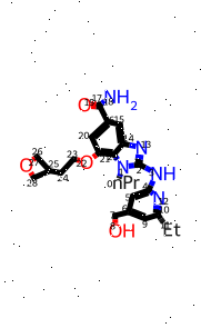 CCCn1c(Nc2cc(CO)cc(CC)n2)nc2cc(C(N)=O)cc(OCCC3COC3)c21